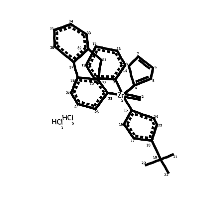 Cl.Cl.[CH2]=[Zr]([C]1=CC=CC1)([c]1ccccc1)([c]1ccc(C(C)(C)C)cc1)[c]1cccc2c1Cc1ccccc1-2